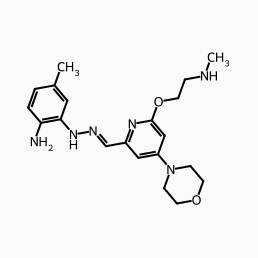 CNCCOc1cc(N2CCOCC2)cc(/C=N/Nc2cc(C)ccc2N)n1